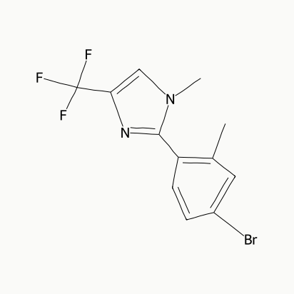 Cc1cc(Br)ccc1-c1nc(C(F)(F)F)cn1C